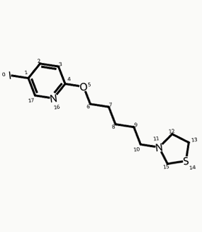 Ic1ccc(OCCCCCN2CCSC2)nc1